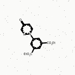 CCOC(=O)c1cc(C(=O)OCC)cc(-n2ccc(=O)cn2)c1